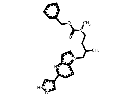 CC(CCN(C)C(=O)OCc1ccccc1)Cn1ccc2nc(-c3cn[nH]c3)ccc21